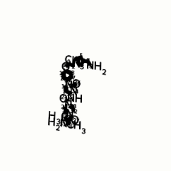 CC(CN1CCC(CN)C1)Oc1ccc(-n2ccc(NC(=O)N3CCN(C(=O)C(C)(C)N)CC3)nc2=O)cc1